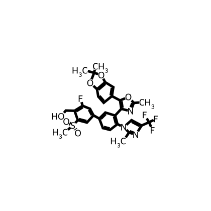 Cc1nc(-c2cc(-c3cc(F)c(CO)c(S(C)(=O)=O)c3)ccc2-n2cc(C(F)(F)F)nc2C)c(-c2ccc3c(c2)OC(C)(C)O3)o1